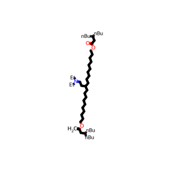 C=C(CC(CCCC)CCCC)OCCCCCCCCCCC(CCCCCCCCCCOC(=O)CC(CCCC)CCCC)CCN(CC)CC